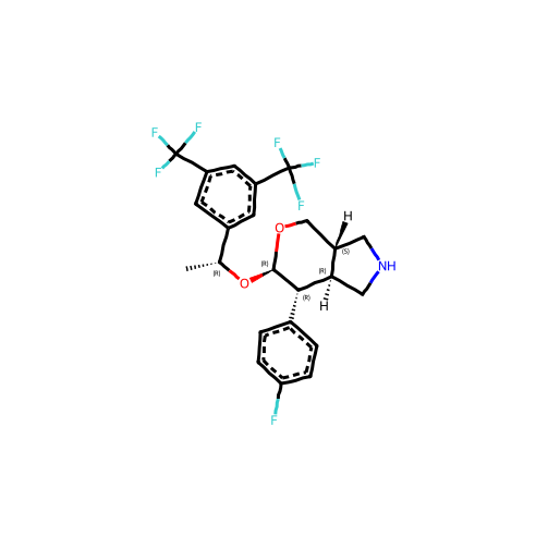 C[C@@H](O[C@H]1OC[C@@H]2CNC[C@H]2[C@@H]1c1ccc(F)cc1)c1cc(C(F)(F)F)cc(C(F)(F)F)c1